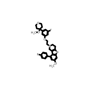 COc1cc2c(c(-c3ccc(F)cc3)c1)C1=C(CCN(CCOc3cc(F)cc(C4(OC)CCOCC4)c3)C1)[N]2